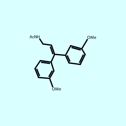 COc1cccc(C(=CCNC(C)=O)c2cccc(OC)c2)c1